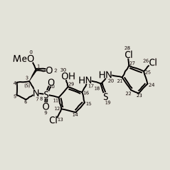 COC(=O)[C@@H]1CCCN1S(=O)(=O)c1c(Cl)ccc(NC(=S)Nc2cccc(Cl)c2Cl)c1O